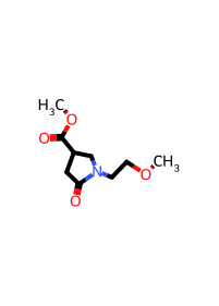 COCCN1CC(C(=O)OC)CC1=O